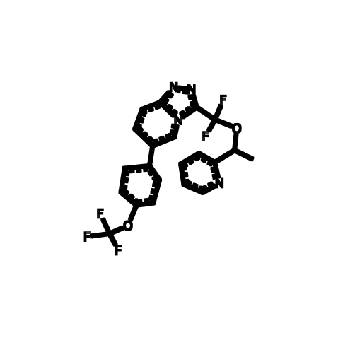 CC(OC(F)(F)c1nnc2ccc(-c3ccc(OC(F)(F)F)cc3)cn12)c1ccccn1